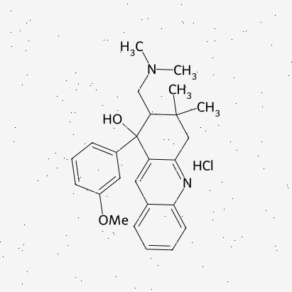 COc1cccc(C2(O)c3cc4ccccc4nc3CC(C)(C)C2CN(C)C)c1.Cl